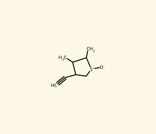 C#CC1C[S+]([O-])C(C)C1C